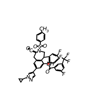 Cc1ccc(S(=O)(=O)N2CC(c3cc(F)ccc3Cl)c3c(cc(-c4cnn(C5CC5)c4)cc3NC(=O)c3cc(F)cc(C(F)(F)F)c3)CC2=C=O)cc1